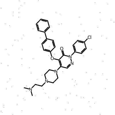 CN(C)CCN1CCN(c2cnn(-c3ccc(Cl)cc3)c(=O)c2Oc2ccc(-c3ccccc3)cc2)CC1